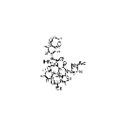 CCC(=O)c1csc(N(C(=O)[C@H]([C@@H](C)c2ccccc2)N2C(=O)N[C@H](c3ccc4c(c3)OCCO4)C2=O)c2nc(C(C)=O)cs2)n1